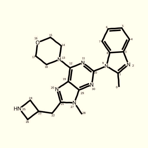 Cc1nc2ccccc2n1-c1nc(N2CCOCC2)c2nc(CC3CNC3)n(C)c2n1